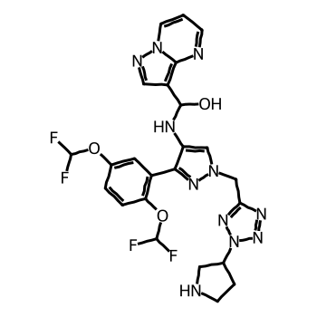 OC(Nc1cn(Cc2nnn(C3CCNC3)n2)nc1-c1cc(OC(F)F)ccc1OC(F)F)c1cnn2cccnc12